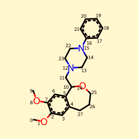 COc1cc2c(cc1OC)C(CN1CCN(c3ccccc3)CC1)OCCC2